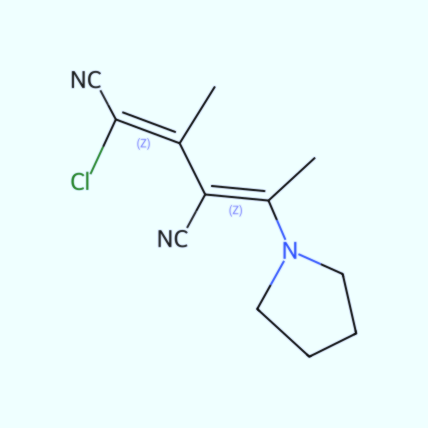 CC(=C(/Cl)C#N)/C(C#N)=C(\C)N1CCCC1